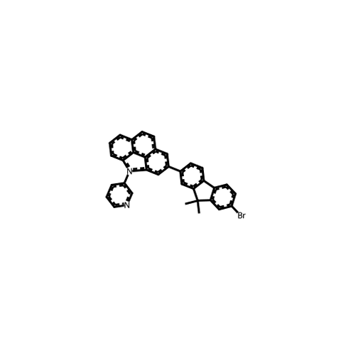 CC1(C)c2cc(Br)ccc2-c2ccc(-c3cc4ccc5cccc6c5c4c(c3)n6-c3cccnc3)cc21